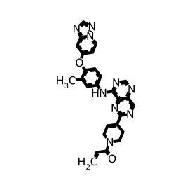 C=CC(=O)N1CC=C(c2ncc3ncnc(Nc4ccc(Oc5ccn6ncnc6c5)c(C)c4)c3n2)CC1